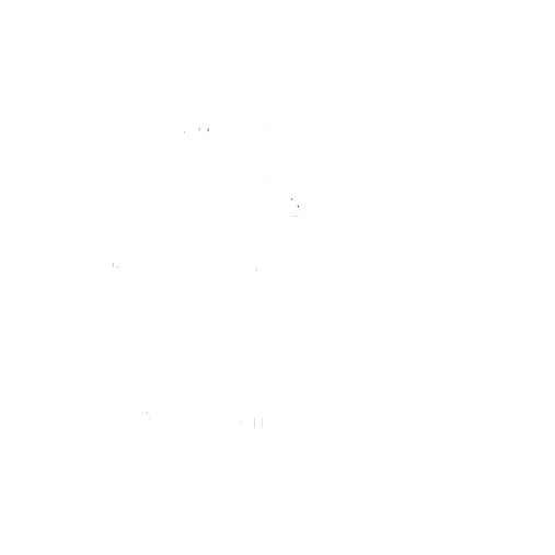 COc1cc(O)c2c(c1C(=O)NCc1ccccc1)OC1=CC(O)=C(C(C)=O)C(=O)[C@]12C